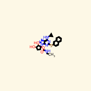 CCNC(=O)OC1(n2nnc3c(NC4CC4)nc(Sc4ccc5ccccc5c4)nc32)CC[C@@H](O)[C@H]1O